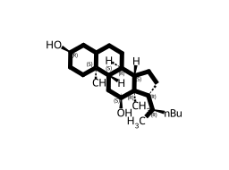 CCCC[C@@H](C)[C@H]1CC[C@H]2[C@@H]3CCC4C[C@H](O)CC[C@]4(C)[C@H]3C[C@H](O)[C@]12C